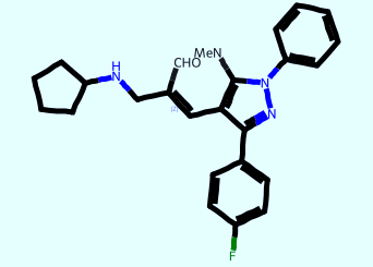 CNc1c(/C=C(\C=O)CNC2CCCC2)c(-c2ccc(F)cc2)nn1-c1ccccc1